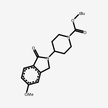 COc1ccc2c(c1)CN(C1CCN(C(=O)OC(C)(C)C)CC1)C2=O